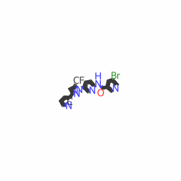 O=C(Nc1ccc(-n2nc(-c3cccnc3)cc2C(F)(F)F)cn1)c1cncc(Br)c1